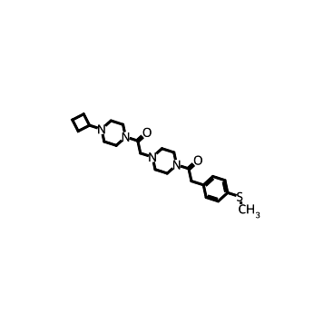 CSc1ccc(CC(=O)N2CCN(CC(=O)N3CCN(C4CCC4)CC3)CC2)cc1